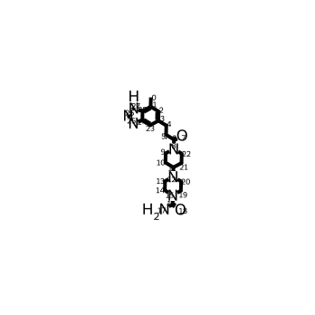 Cc1cc(C[CH]C(=O)N2CCC(N3CCN(C(N)=O)CC3)CC2)cc2nn[nH]c12